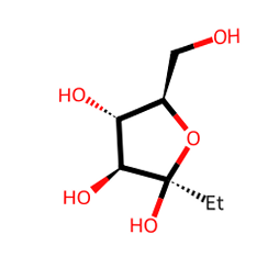 CC[C@@]1(O)O[C@H](CO)[C@@H](O)[C@@H]1O